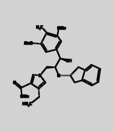 COC(=O)c1cn(C[C@H](OC2Cc3ccccc3C2)[C@H](O)c2cc(OC)c(C)c(OC)c2)cc1CC(=O)O